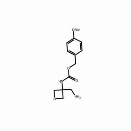 COc1ccc(COC(=O)NC2(CN)COC2)cc1